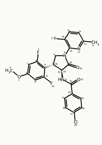 COc1cc(F)c([C@@H]2CN(c3nc(C)ccc3F)C(=O)[C@H]2NC(=O)c2ccc(Cl)cc2)c(F)c1